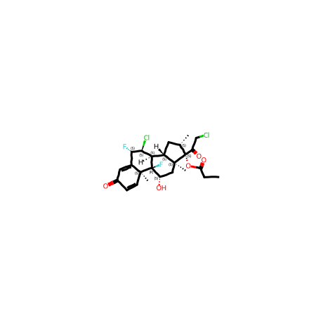 CCC(=O)O[C@@]1(C(=O)CCl)[C@@H](C)C[C@H]2[C@@H]3[C@H](Cl)[C@@H](F)C4=CC(=O)C=C[C@]4(C)[C@@]3(F)[C@@H](O)C[C@@]21C